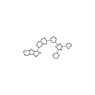 c1ccc(-c2nc(-c3ccccc3)nc(-c3cccc(-c4ccc5cc[n+](-c6nccc7c6sc6ccccc67)cc5c4)c3)n2)cc1